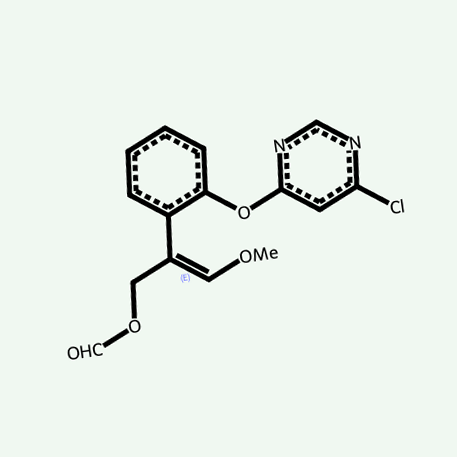 CO/C=C(/COC=O)c1ccccc1Oc1cc(Cl)ncn1